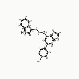 Fc1ccc(-c2nc(OCCc3c[nH]c4ccccc34)c3ncsc3n2)cc1